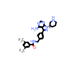 Nc1ncnc2c1c(-c1ccc(CNC(=O)c3cc(C(F)(F)F)cc(C(F)(F)F)c3)cc1)nn2[C@@H]1CCCNC1